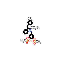 CCOC(=O)c1c(Cc2cccc(C(F)(F)F)c2)c2ccccc2n1Cc1cc(OS(C)(=O)=O)cc(OS(C)(=O)=O)c1